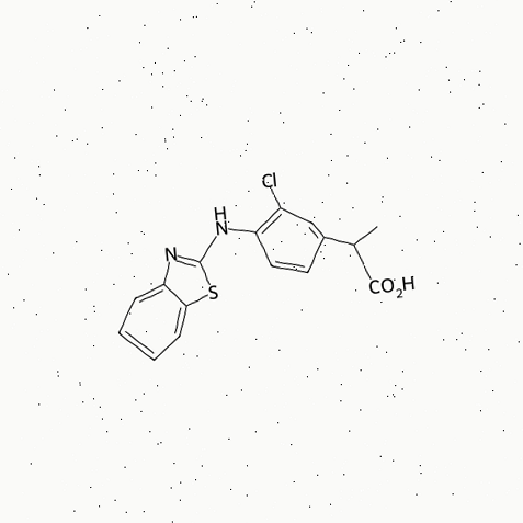 CC(C(=O)O)c1ccc(Nc2nc3ccccc3s2)c(Cl)c1